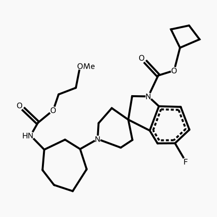 COCCOC(=O)NC1CCCCC(N2CCC3(CC2)CN(C(=O)OC2CCC2)c2ccc(F)cc23)C1